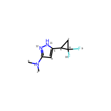 CN(C)c1cc(C2CC2(F)F)[nH]n1